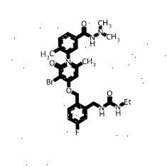 CCNC(=O)NCc1cc(F)ccc1COc1cc(C)n(-c2cc(C(=O)NN(C)C)ccc2C)c(=O)c1Br